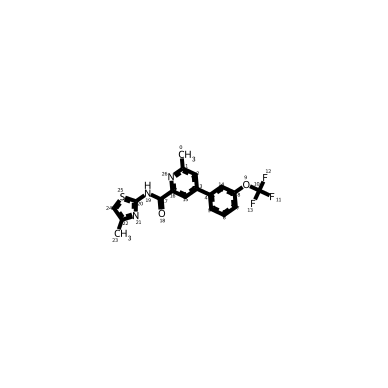 Cc1cc(-c2cccc(OC(F)(F)F)c2)cc(C(=O)Nc2nc(C)cs2)n1